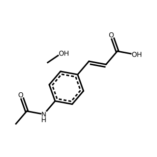 CC(=O)Nc1ccc(C=CC(=O)O)cc1.CO